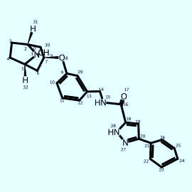 CN1[C@@H]2CC[C@H]1C[C@H](Oc1cccc(CNC(=O)c3cc(-c4ccccc4)n[nH]3)c1)C2